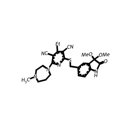 CCc1c(C#N)c(SCc2ccc3c(c2)C(OC)(OC)C(=O)N3)nc(N2CCCN(C)CC2)c1C#N